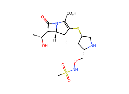 C[C@@H](O)[C@H]1C(=O)N2C(C(=O)O)=C(S[C@H]3CN[C@H](CONS(C)(=O)=O)C3)[C@H](C)[C@H]12